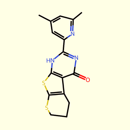 Cc1cc(C)nc(-c2nc(=O)c3c4c(sc3[nH]2)SCCC4)c1